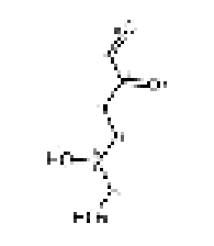 O=CC(=O)CC[C@H](O)CO